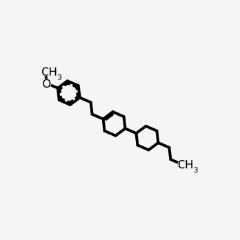 CCCC1CCC(C2CC=C(CCc3ccc(OC)cc3)CC2)CC1